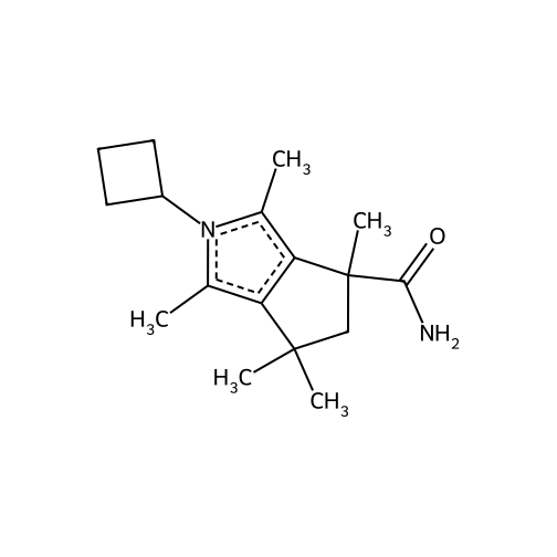 Cc1c2c(c(C)n1C1CCC1)C(C)(C(N)=O)CC2(C)C